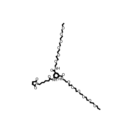 CCCOCCOCCOCCOCCOCCOCCNC(=O)c1cc(NC(=O)CCCCCN2C(=O)C=CC2=O)cc(C(=O)NCCOCCOCCOCCOCCOCCOCC)c1